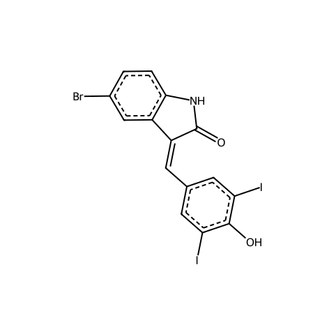 O=C1Nc2ccc(Br)cc2C1=Cc1cc(I)c(O)c(I)c1